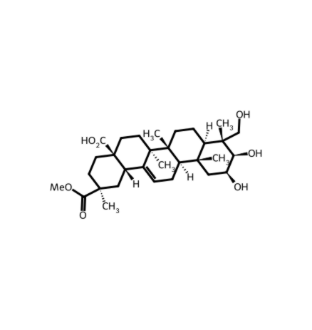 COC(=O)[C@@]1(C)CC[C@]2(C(=O)O)CC[C@]3(C)C(=CC[C@@H]4[C@@]5(C)C[C@H](O)[C@H](O)[C@@](C)(CO)[C@@H]5CC[C@]43C)[C@@H]2C1